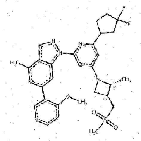 COc1ccncc1-c1cc2c(cnn2-c2cc(N3C[C@H](CS(C)(=O)=O)[C@H]3C)cc(C3CCC(F)(F)C3)n2)c(C)n1